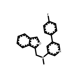 CN(Cc1occ2ccccc12)c1cncc(-c2ccc(F)cc2)c1